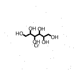 OCC(O)C(O)C(O)C(O)CO.[Cr]